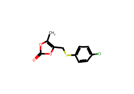 Cc1oc(=O)oc1CSc1ccc(Cl)cc1